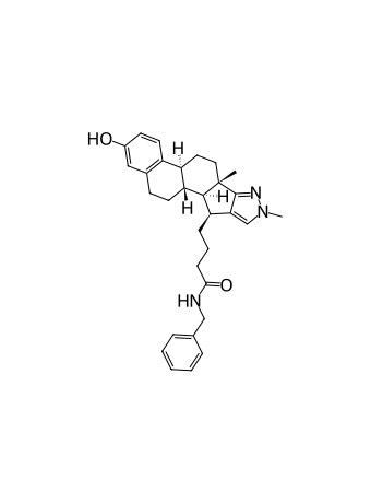 Cn1cc2c(n1)[C@@]1(C)CC[C@@H]3c4ccc(O)cc4CC[C@H]3[C@@H]1[C@@H]2CCCC(=O)NCc1ccccc1